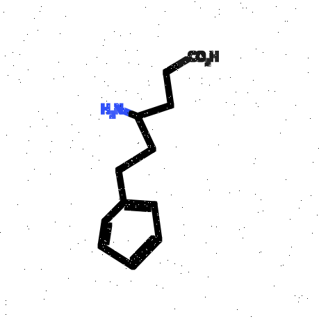 NC(CCC(=O)O)CCc1ccccc1